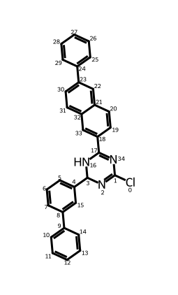 ClC1=NC(c2cccc(-c3ccccc3)c2)NC(c2ccc3cc(-c4ccccc4)ccc3c2)=N1